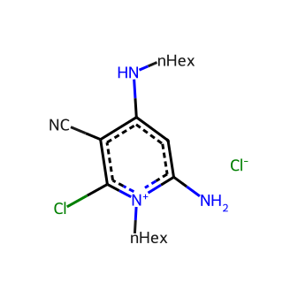 CCCCCCNc1cc(N)[n+](CCCCCC)c(Cl)c1C#N.[Cl-]